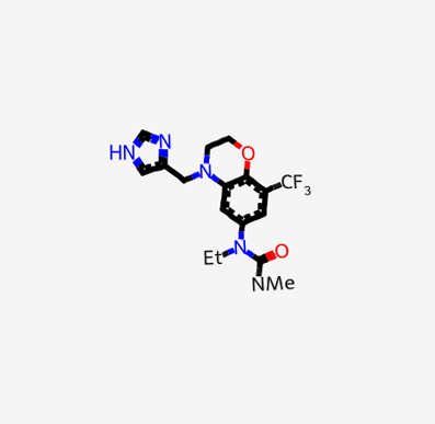 CCN(C(=O)NC)c1cc2c(c(C(F)(F)F)c1)OCCN2Cc1c[nH]cn1